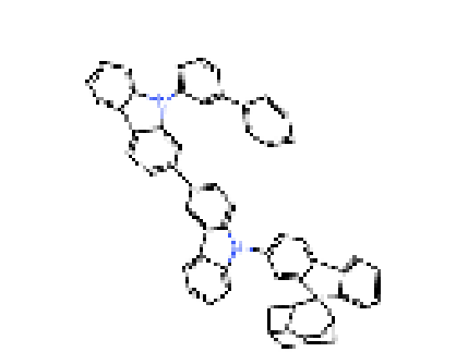 c1ccc(-c2cccc(-n3c4ccccc4c4ccc(-c5ccc6c(c5)c5ccccc5n6-c5ccc6c(c5)C5(c7ccccc7-6)C6CC7CC(C6)CC5C7)cc43)c2)cc1